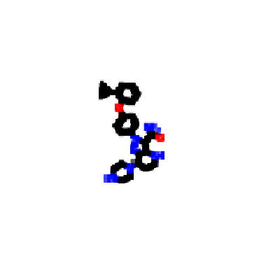 NC(=O)c1c2c(nn1-c1ccc(Oc3ccccc3C3CC3)cc1)[C@H](N1CCNCC1)CCN2